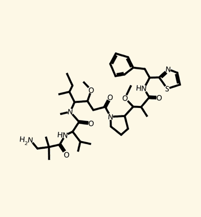 CCC(C)C(C(CC(=O)N1CCCC1C(OC)C(C)C(=O)NC(Cc1ccccc1)c1nccs1)OC)N(C)C(=O)C(NC(=O)C(C)(C)CN)C(C)C